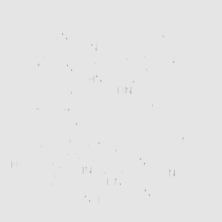 COC(=O)c1ccc(I)cc1S(=O)(=O)NC(=O)Nc1nc(C)nc(OC)n1.COc1nc(C)nc(NC(=O)NS(=O)(=O)c2cc(I)ccc2C(=O)O)n1.[NaH]